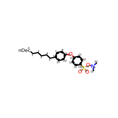 CCCCCCCCCCCCCCCc1ccc(Oc2ccc(S(=O)(=O)ON(C)C)cc2)cc1